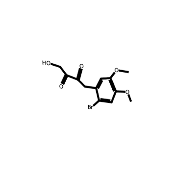 COc1cc(Br)c(CC(=O)C(=O)CO)cc1OC